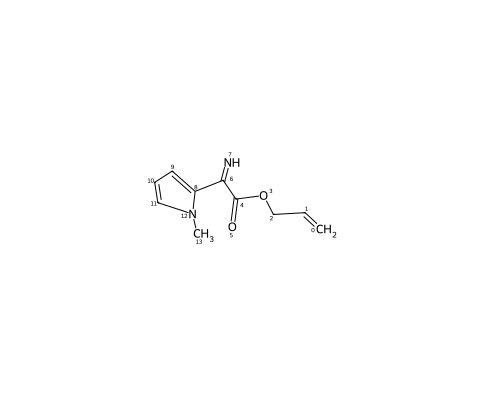 C=CCOC(=O)C(=N)c1cccn1C